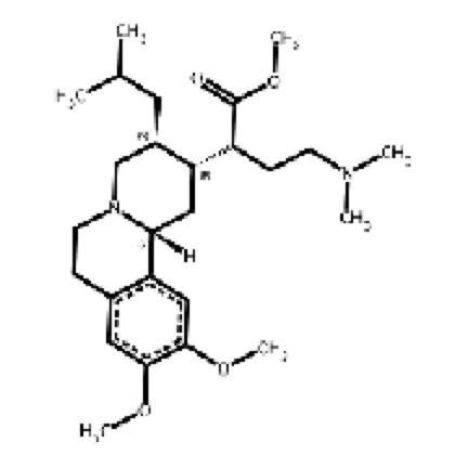 COC(=O)C(CCN(C)C)[C@@H]1C[C@@H]2c3cc(OC)c(OC)cc3CCN2C[C@H]1CC(C)C